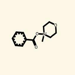 C[N+]1(OC(=O)c2ccccc2)CCOCC1